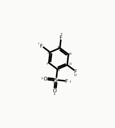 O=S(=O)(F)c1cc(F)c(F)cc1F